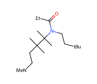 CCC(=O)N(CCC(C)(C)C)C(C)(C)C(C)(C)CCNC